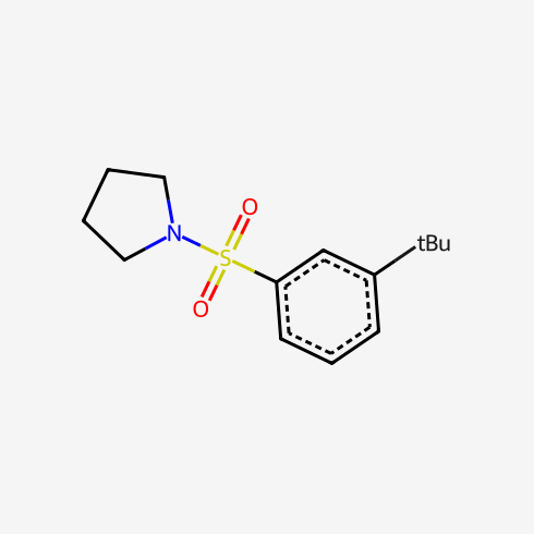 CC(C)(C)c1cccc(S(=O)(=O)N2CCCC2)c1